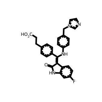 O=C(O)CCc1ccc(C(Nc2ccc(Cn3ccnc3)cc2)=C2C(=O)Nc3cc(F)ccc32)cc1